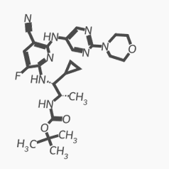 C[C@H](NC(=O)OC(C)(C)C)[C@H](Nc1nc(Nc2cnc(N3CCOCC3)nc2)c(C#N)cc1F)C1CC1